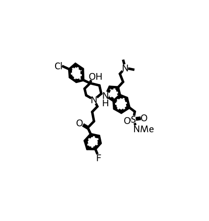 CNS(=O)(=O)Cc1ccc2[nH]cc(CCN(C)C)c2c1.O=C(CCCN1CCC(O)(c2ccc(Cl)cc2)CC1)c1ccc(F)cc1